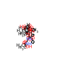 CC(=O)O[C@@]12CO[C@@H]1C[C@H](O)[C@@]1(C)C(=O)[C@H](C)C3=C(C)[C@@H](OC(=O)[C@H](OC(=O)CCC(=O)N[C@@H](C(C)=O)C(C)O)[C@@H](NC(=O)c4ccccc4)c4ccccc4)C[C@@](O)([C@@H](OC(=O)c4ccccc4)[C@H]21)C3(C)C